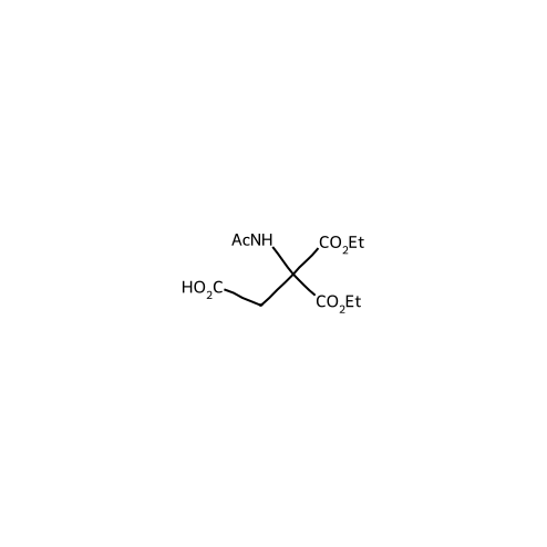 CCOC(=O)C(CC(=O)O)(NC(C)=O)C(=O)OCC